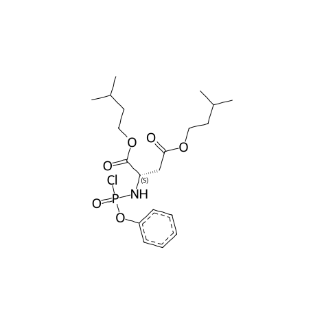 CC(C)CCOC(=O)C[C@H](NP(=O)(Cl)Oc1ccccc1)C(=O)OCCC(C)C